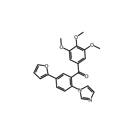 COc1cc(C(=O)c2cc(-c3ccco3)ccc2-n2ccnc2)cc(OC)c1OC